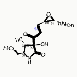 CCCCCCCCC[C@H]1O[C@@H]1/C=C/C(=O)[C@]1(O)C(=O)N[C@@H](CO)[C@@H]1O